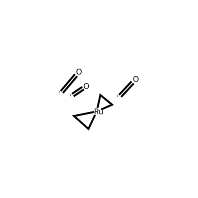 [CH2]1[CH2][Ru]12[CH2][CH2]2.[C]=O.[C]=O.[C]=O